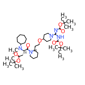 CN(C1CCCCCC1)[C@@H](CC(=O)OC(C)(C)C)C(=O)N1CCCC[C@@H]1CCOC1CCN(C(=NC(=O)OC(C)(C)C)NC(=O)OC(C)(C)C)CC1